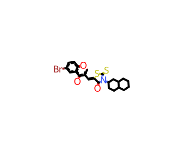 O=C1/C(=C/c2coc3ccc(Br)cc3c2=O)SC(=S)N1C1CCC2CCCCC2C1